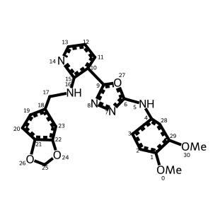 COc1ccc(Nc2nnc(-c3cccnc3NCc3ccc4c(c3)OCO4)o2)cc1OC